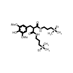 CC[N+](C)(C)CCCNC(=O)C(Cc1cc(OC)c(O)c(OC)c1)C(=O)NCCC[N+](C)(C)CC